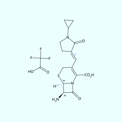 N[C@@H]1C(=O)N2C(C(=O)O)=C(/C=C3\CCN(C4CC4)C3=O)CS[C@H]12.O=C(O)C(F)(F)F